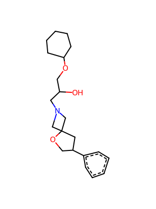 OC(COC1CCCCC1)CN1CC2(CC(c3ccccc3)CO2)C1